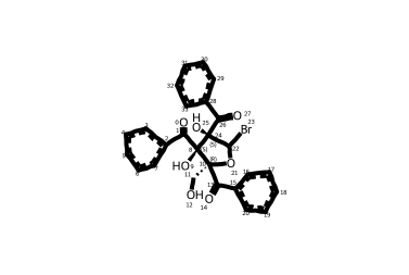 O=C(c1ccccc1)[C@@]1(O)[C@](CO)(C(=O)c2ccccc2)OC(Br)[C@@]1(O)C(=O)c1ccccc1